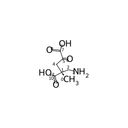 C[C@](CN)(CC(=O)C(=O)O)C(=O)O